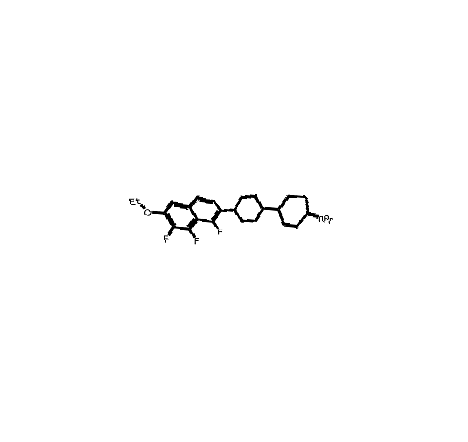 CCCC1CCC(C2CCC(c3ccc4cc(OCC)c(F)c(F)c4c3F)CC2)CC1